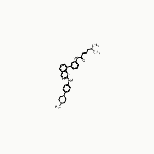 CN(C)C/C=C/C(=O)Nc1cccc(-c2cccc3cnc(Nc4ccc(N5CCN(C)CC5)cc4)nc23)c1